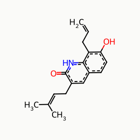 C=CCc1c(O)ccc2cc(CC=C(C)C)c(=O)[nH]c12